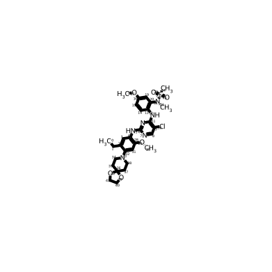 CCc1cc(Nc2ncc(Cl)c(Nc3ccc(OC)cc3N(C)S(C)(=O)=O)n2)c(OC)cc1N1CCC2(CC1)OCCO2